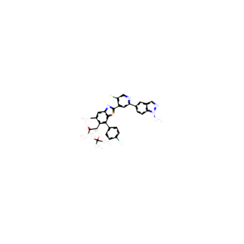 CC(=O)[C@@H](OC(C)(C)C)c1c(C)cc2nc(-c3cc(-c4ccc5c(cnn5C)c4)ncc3F)sc2c1-c1ccc(Cl)cc1